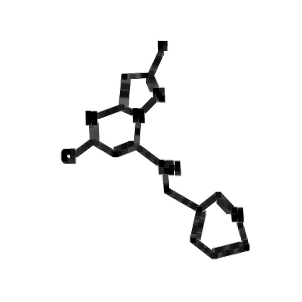 Fc1cc2nc(Cl)cc(NCc3cccnc3)n2n1